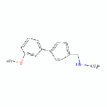 CCCOc1cccc(-c2ccc(CNC(=O)O)cc2)c1